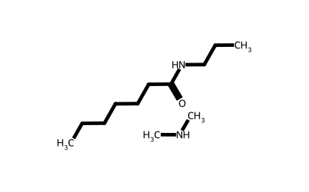 CCCCCCC(=O)NCCC.CNC